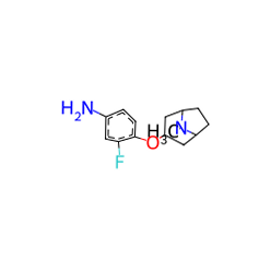 CN1C2CCC1CC(Oc1ccc(N)cc1F)C2